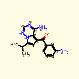 CC(C)c1cc(C(=O)c2cccc(N)c2)c2c(N)ncnn12